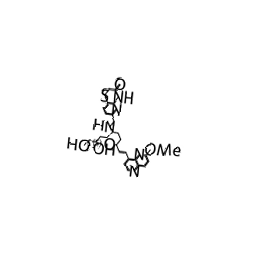 COc1ccc2nccc(C=CC3CCC(NCc4ccc5c(n4)NC(=O)CS5)C(C[C@H](O)CO)O3)c2n1